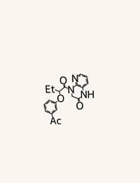 CCC(Oc1cccc(C(C)=O)c1)C(=O)N1CC(=O)Nc2cccnc21